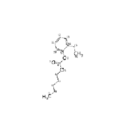 CCCCCOC(=O)Oc1ccccc1CC